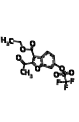 CCOC(=O)c1c(C(C)=O)oc2cc(OS(=O)(=O)C(F)(F)F)ccc12